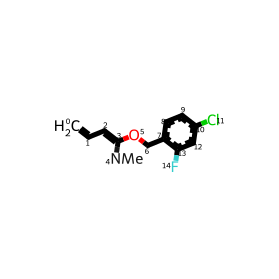 C=C/C=C(\NC)OCc1ccc(Cl)cc1F